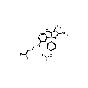 CN1C(=O)[C@](c2ccc(OC(F)F)cc2)(c2ccc(F)c(OCCC=C(F)F)c2)N=C1N